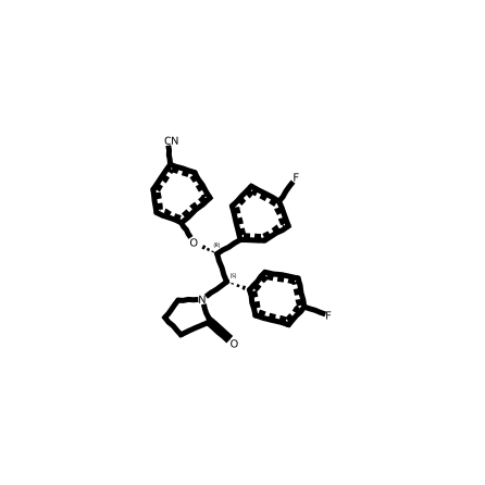 N#Cc1ccc(O[C@H](c2ccc(F)cc2)[C@H](c2ccc(F)cc2)N2CCCC2=O)cc1